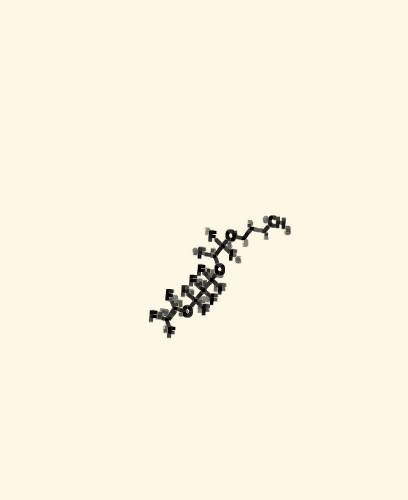 CCCCOC(F)(F)C(F)OC(F)(F)C(F)(F)C(F)(F)OC(F)=C(F)F